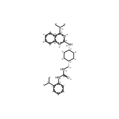 CC(C)c1ccccc1NC(=O)NC[C@H]1CC[C@@H](Nc2nc(N(C)C)c3ccccc3n2)CC1